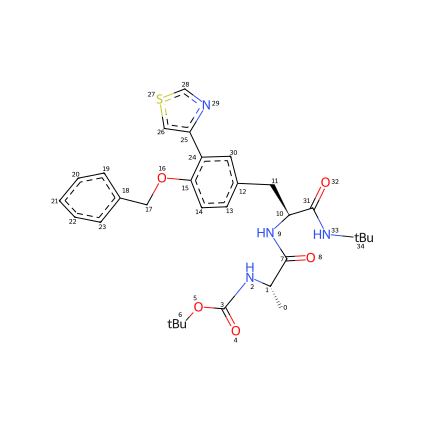 C[C@H](NC(=O)OC(C)(C)C)C(=O)N[C@@H](Cc1ccc(OCc2ccccc2)c(-c2cscn2)c1)C(=O)NC(C)(C)C